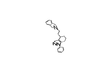 c1ccc(-n2ncc3c2CCCC3CCN2Cc3ccccc3C2)cc1